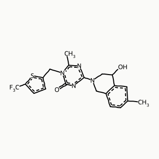 Cc1ccc2c(c1)C(O)CN(c1nc(C)n(Cc3ccc(C(F)(F)F)s3)c(=O)n1)C2